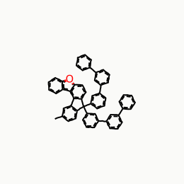 Cc1ccc2c(c1)-c1c(ccc3oc4ccccc4c13)C2(c1cccc(-c2cccc(-c3ccccc3)c2)c1)c1cccc(-c2cccc(-c3ccccc3)c2)c1